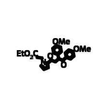 CCOC(=O)CCn1cccc1C(=O)CC(C(=O)c1ccc(OC)cc1)c1ccc(OC)cc1